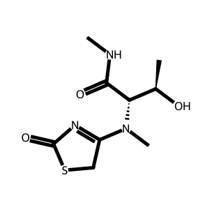 CNC(=O)[C@H]([C@@H](C)O)N(C)C1=NC(=O)SC1